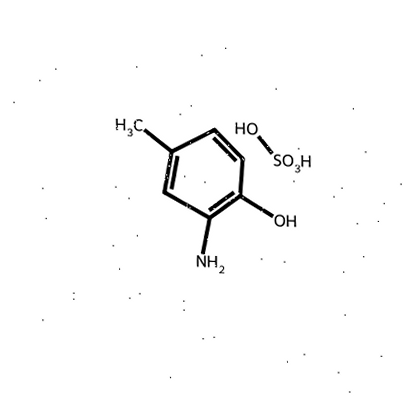 Cc1ccc(O)c(N)c1.O=S(=O)(O)O